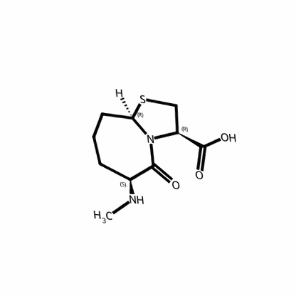 CN[C@H]1CCC[C@H]2SC[C@@H](C(=O)O)N2C1=O